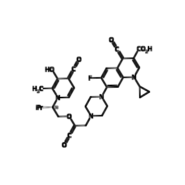 CC1=C(O)C(=C=O)C=CN1[C@H](COC(=C=O)CN1CCN(c2cc3c(cc2F)C(=C=O)C(C(=O)O)=CN3C2CC2)CC1)C(C)C